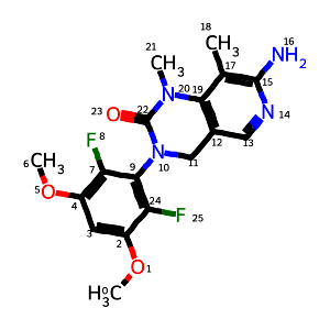 COc1cc(OC)c(F)c(N2Cc3cnc(N)c(C)c3N(C)C2=O)c1F